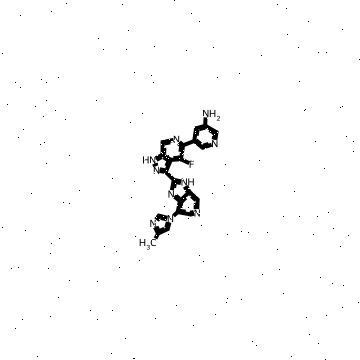 Cc1cn(-c2cncc3[nH]c(-c4n[nH]c5cnc(-c6cncc(N)c6)c(F)c45)nc23)cn1